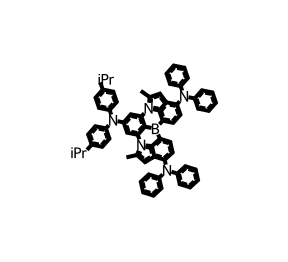 Cc1cc2c(N(c3ccccc3)c3ccccc3)ccc3c2n1-c1cc(N(c2ccc(C(C)C)cc2)c2ccc(C(C)C)cc2)cc2c1B3c1ccc(N(c3ccccc3)c3ccccc3)c3cc(C)n-2c13